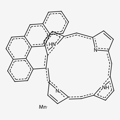 C1=Cc2cc3ccc([nH]3)c(-c3cccc4ccc5cc6ccccc6cc5c34)c3nc(cc4ccc(cc1n2)[nH]4)C=C3.[Mn]